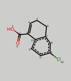 O=C(O)C1=CCCc2cc(Cl)ccc21